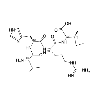 CC[C@H](C)[C@H](NC(=O)[C@H](CCCNC(=N)N)NC(=O)[C@H](Cc1c[nH]cn1)NC(=O)[C@@H](N)C(C)C)C(=O)O